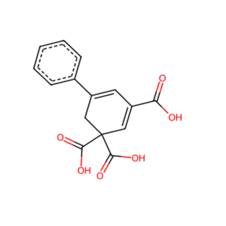 O=C(O)C1=CC(C(=O)O)(C(=O)O)CC(c2ccccc2)=C1